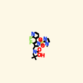 Cn1ccnc1S(=O)(=O)n1cc(CN(CC(C)(C)C)C(=O)O)c(F)c1-c1cccnc1F